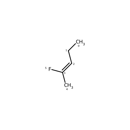 CC/C=C(/C)F